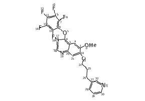 COc1cc2c(Oc3c(F)c(F)c(F)c(F)c3F)ncnc2cc1OCCCc1cccnc1